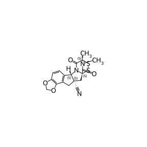 CN1C(=O)[C@@]23C[C@@]4(C#N)Cc5c(ccc6c5OCO6)[C@@H]4N2C(=O)[C@]1(C)SS3